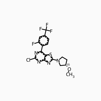 CO[C@H]1CCN(c2nc3nc(Cl)nc(-c4ccc(C(F)(F)F)cc4F)c3s2)C1